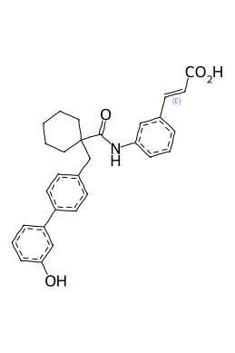 O=C(O)/C=C/c1cccc(NC(=O)C2(Cc3ccc(-c4cccc(O)c4)cc3)CCCCC2)c1